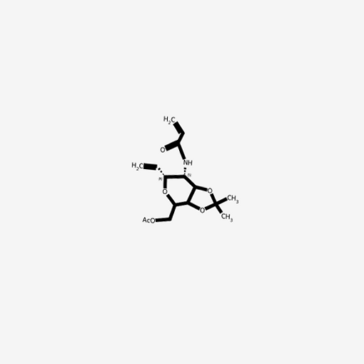 C=CC(=O)N[C@@H]1C2OC(C)(C)OC2C(COC(C)=O)O[C@@H]1C=C